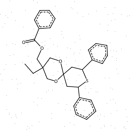 CCC1(COC(=O)c2ccccc2)COC2(CC(c3ccccc3)SC(c3ccccc3)C2)OC1